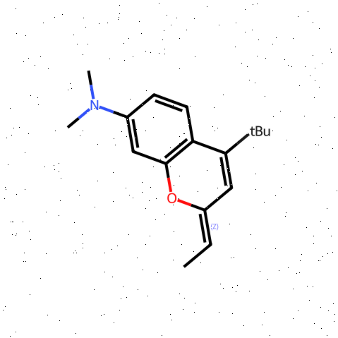 C/C=C1/C=C(C(C)(C)C)c2ccc(N(C)C)cc2O1